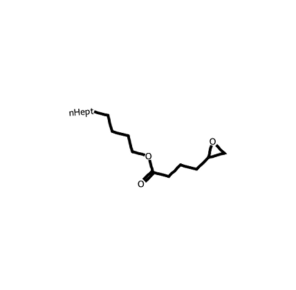 CCCCCCCCCCCOC(=O)CCCC1CO1